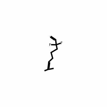 [CH]=CC(F)(F)CCCC=C(C)C